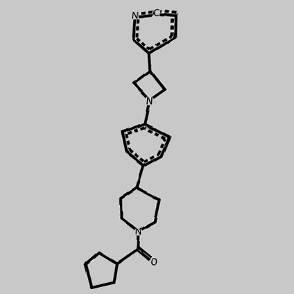 O=C(C1CCCC1)N1CCC(c2ccc(N3CC(c4cccnc4)C3)cc2)CC1